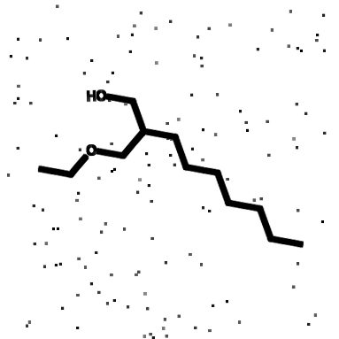 CCCCCCC[C](CO)COCC